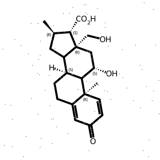 C[C@@H]1CC2[C@@H]3CCC4=CC(=O)C=C[C@]4(C)C3[C@@H](O)C[C@]2(CO)[C@H]1C(=O)O